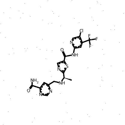 C[C@@H](NCc1cc(C(N)=O)ncn1)c1ncc(C(=O)Nc2cc(C(F)(F)F)c(Cl)cn2)s1